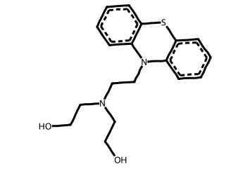 OCCN(CCO)CCN1c2ccccc2Sc2ccccc21